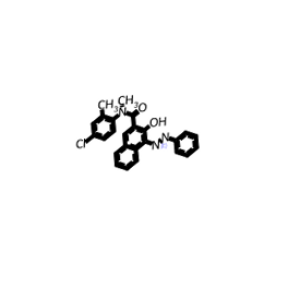 Cc1cc(Cl)ccc1N(C)C(=O)c1cc2ccccc2c(/N=N/c2ccccc2)c1O